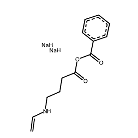 C=CNCCCC(=O)OC(=O)c1ccccc1.[NaH].[NaH]